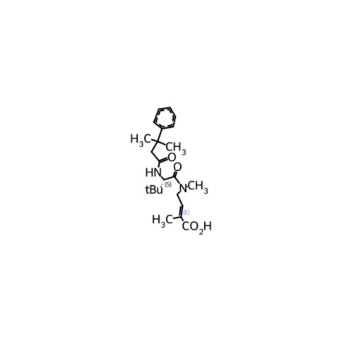 C/C(=C\CN(C)C(=O)[C@@H](NC(=O)CC(C)(C)c1ccccc1)C(C)(C)C)C(=O)O